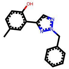 Cc1ccc(O)c(-c2cnn(Cc3ccccc3)n2)c1